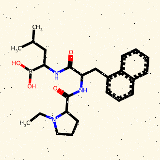 CCN1CCCC1C(=O)NC(Cc1cccc2ccccc12)C(=O)NC(CC(C)C)B(O)O